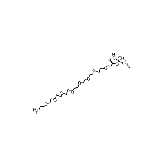 CCCOCCOCCOCCOCCOCCOCCOCCOCCC(=O)OC(C)(C)C